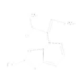 CO/C=C(/C(=O)OC)c1cccc2cc(C(F)(F)F)oc12